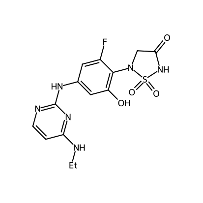 CCNc1ccnc(Nc2cc(O)c(N3CC(=O)NS3(=O)=O)c(F)c2)n1